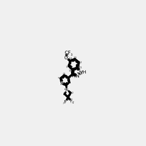 FC1(F)CN(c2cc(-c3n[nH]c4ccc(OC(F)(F)F)cc34)ccn2)C1